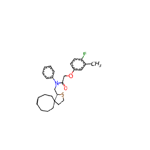 Cc1cc(OCC(=O)N(CC2SCCC23CCCCCCC3)c2ccccc2)ccc1F